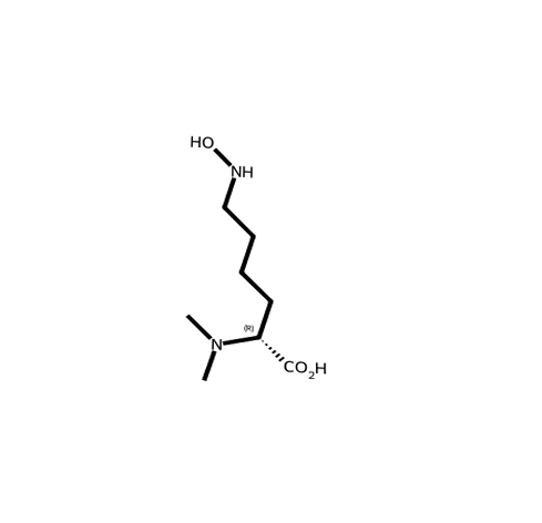 CN(C)[C@H](CCCCNO)C(=O)O